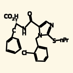 CCCSc1ncc(C(=O)N[C@H](Cc2ccccc2)C(=O)O)n1Cc1ccccc1Cl